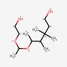 CC(OCCO)OC(C)C(C)C(C)(C)CCO